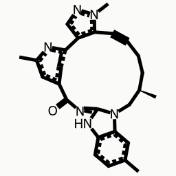 Cc1ccc2c(c1)N1C[C@H](C)CCC#Cc3c(cnn3C)-c3cc(cc(C)n3)C(=O)/N=C/1N2